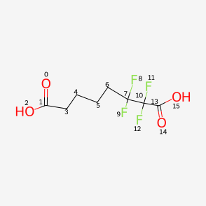 O=C(O)CCCCC(F)(F)C(F)(F)C(=O)O